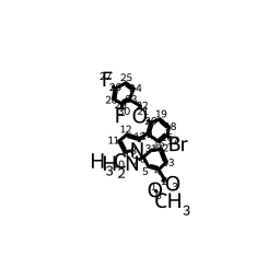 COC(=O)C1=CC(N)(n2c(C)ccc2-c2cc(Br)ccc2OCc2ccc(F)cc2F)CC=C1